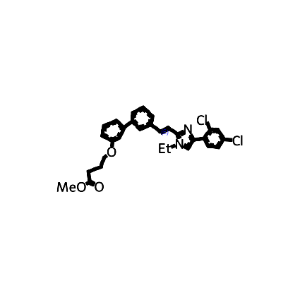 CCn1cc(-c2ccc(Cl)cc2Cl)nc1/C=C/c1cccc(-c2cccc(OCCCC(=O)OC)c2)c1